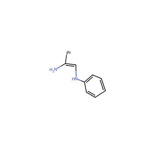 CC(C)/C(N)=C/Nc1ccccc1